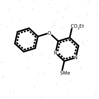 CCOC(=O)c1cnc(SC)nc1Oc1ccccc1